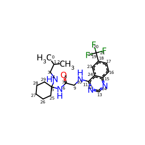 CC(C)CNC1(NC(=O)CNc2ncnc3ccc(C(F)(F)F)cc23)CCCCC1